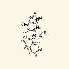 Cl.Nc1nc2[nH]cnc2c(=O)n1Cc1ccc2ccccc2c1